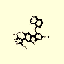 COc1cc2c(cc1-c1c(C)noc1C)[nH]c1nc(C)nc(Nc3cccc4cnccc34)c12